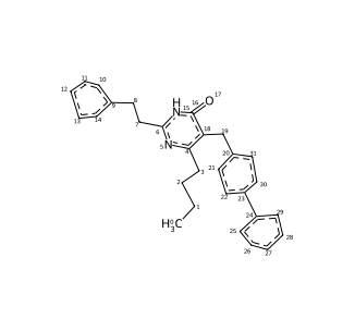 CCCCc1nc(CCc2ccccc2)[nH]c(=O)c1Cc1ccc(-c2ccccc2)cc1